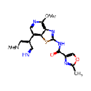 CN/C=C(\C=N)c1cnc(OC)c2nc(NC(=O)c3coc(C)n3)sc12